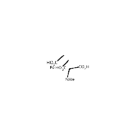 CC(=O)O.CC(=O)O.CNCC(=O)O.[Fe]